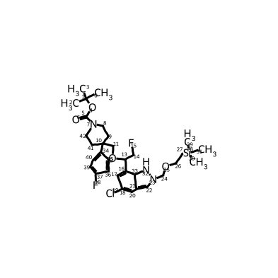 CC(C)(C)OC(=O)N1CCC(COC(CF)C2=CC(Cl)=CC3=CN(COCC[Si](C)(C)C)NC32)(c2ccc(F)cc2)CC1